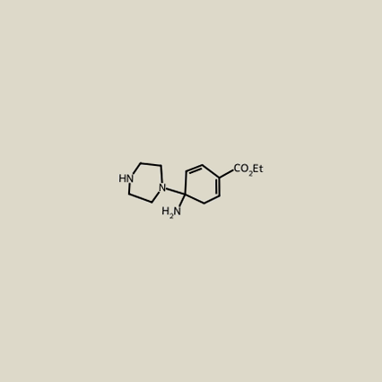 CCOC(=O)C1=CCC(N)(N2CCNCC2)C=C1